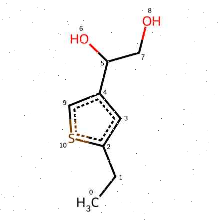 CCc1cc(C(O)CO)cs1